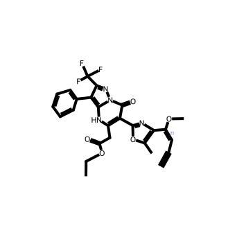 C#C/C=C(/OC)c1nc(-c2c(CC(=O)OCC)[nH]c3c(-c4ccccc4)c(C(F)(F)F)nn3c2=O)oc1C